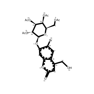 CC(=O)OC[C@H]1O[C@@H](Oc2cc3oc(=O)cc(CO)c3cc2Br)[C@H](OC(C)=O)[C@@H](OC(C)=O)[C@H]1OC(C)=O